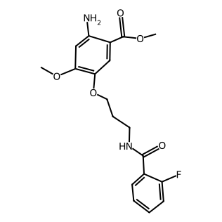 COC(=O)c1cc(OCCCNC(=O)c2ccccc2F)c(OC)cc1N